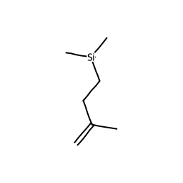 C=C(C)CC[Si](C)C